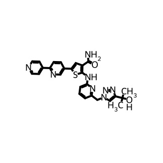 CC(C)(O)c1cn(Cc2cccc(Nc3sc(-c4ccc(-c5ccncc5)nc4)cc3C(N)=O)n2)nn1